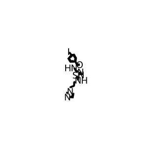 O=C(Nc1nnc(NCCCn2ccnc2)s1)c1ccc(I)cc1